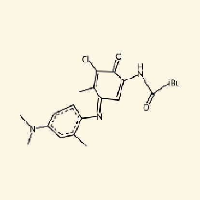 CCC(C)C(=O)NC1=CC(=Nc2ccc(N(C)C)cc2C)C(C)=C(Cl)C1=O